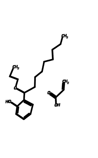 C=CC(=O)O.CCCCCCCCC(OCCC)c1ccccc1O